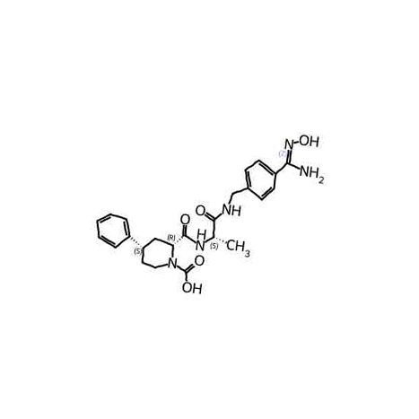 C[C@H](NC(=O)[C@H]1C[C@@H](c2ccccc2)CCN1C(=O)O)C(=O)NCc1ccc(/C(N)=N/O)cc1